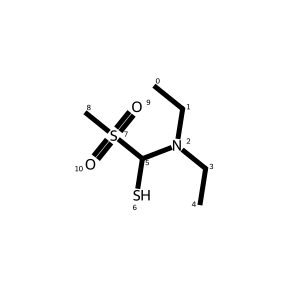 CCN(CC)C(S)S(C)(=O)=O